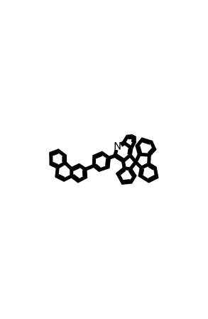 c1ccc2c(c1)-c1ccccc1C21c2ccccc2-c2c(-c3ccc(-c4ccc5ccc6ccccc6c5c4)cc3)nc3ccccc3c21